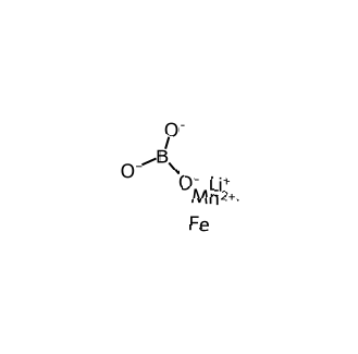 [Fe].[Li+].[Mn+2].[O-]B([O-])[O-]